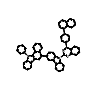 c1ccc(-n2c3ccccc3c3cc(-c4ccc5c(c4)c4ccccc4n5-c4nc(-c5ccc(-c6cccc7ccccc67)cc5)c5ccccc5n4)c4ccccc4c32)cc1